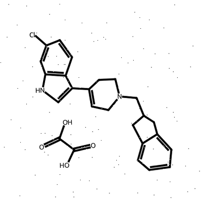 Clc1ccc2c(C3=CCN(CC4Cc5ccccc5C4)CC3)c[nH]c2c1.O=C(O)C(=O)O